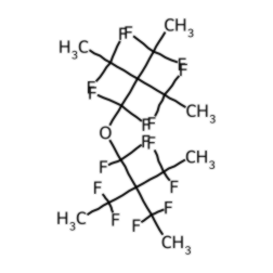 CC(F)(F)C(C(C)(F)F)(C(C)(F)F)C(F)(F)OC(F)(F)C(C(C)(F)F)(C(C)(F)F)C(C)(F)F